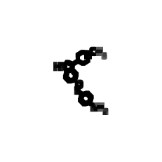 CN1CCC(c2c[nH]c3ccc(OSc4ccc(N)cc4)cc23)CC1